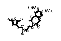 COc1cc2c(cc1OC)CC(=O)N(CCCN(C)CCc1cc(C)sc1C)CC2